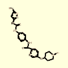 CCN1CCC(Oc2ccc(C(=O)Nc3ccc(NC(=O)Nc4cc(C(C)(C)C)no4)cc3)nc2)CC1